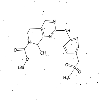 CC1c2nc(Nc3ccc(CS(C)(=O)=O)cc3)ncc2CCN1C(=O)OC(C)(C)C